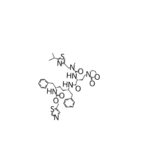 CC(C)c1nc(CN(C)C(=O)N[C@@H](CCN2CCOC2=O)C(=O)N[C@H](CC[C@H](Cc2ccccc2)NC(=O)OCc2cncs2)Cc2ccccc2)cs1